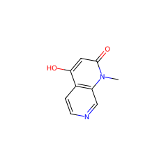 Cn1c(=O)cc(O)c2ccncc21